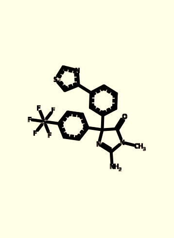 CN1C(=O)C(c2ccc(S(F)(F)(F)(F)F)cc2)(c2cccc(-c3cscn3)c2)N=C1N